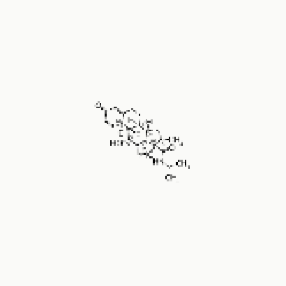 CC(C)NC(=O)[C@@]1(O)[C@H](C)C[C@H]2[C@@H]3CCC4=CC(=O)C=C[C@]4(C)[C@@]3(F)[C@@H](O)C[C@@]21C